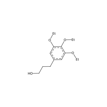 CCOc1cc(CCCO)cc(OCC)c1OCC